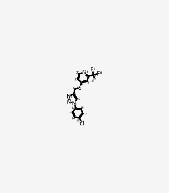 FC(F)(F)c1cc(SCc2cn(-c3ccc(Cl)cc3)nn2)ccn1